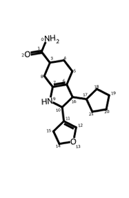 NC(=O)C1CCC2=C(C1)NC(C1=COCC1)C2C1CCCC1